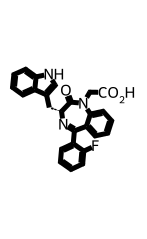 O=C(O)CN1C(=O)[C@@H](Cc2c[nH]c3ccccc23)N=C(c2ccccc2F)c2ccccc21